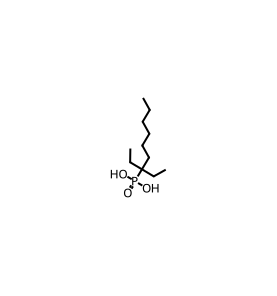 CCCCCCC(CC)(CC)P(=O)(O)O